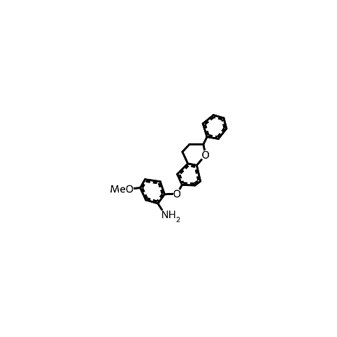 COc1ccc(Oc2ccc3c(c2)CCC(c2ccccc2)O3)c(N)c1